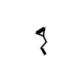 C=CCC1C#C1